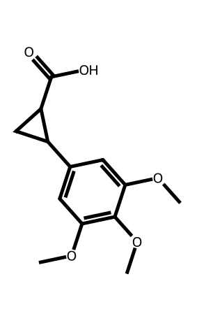 COc1cc(C2CC2C(=O)O)cc(OC)c1OC